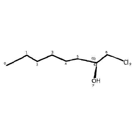 CCCCCC[C@H](O)CCl